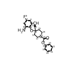 C#CC1(Oc2ccc(F)cc2N)CCN(C(=O)Oc2ccccc2)CC1